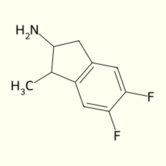 CC1c2cc(F)c(F)cc2CC1N